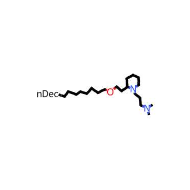 CCCCCCCCCCCCCCCCCCOCCC1CCCCN1CCCN(C)C